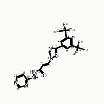 O=C(C=Cn1cnc(-c2cc(C(F)(F)F)cc(C(F)(F)F)c2)n1)NNc1ccncn1